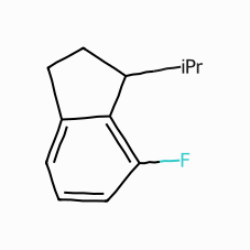 CC(C)C1CCc2cccc(F)c21